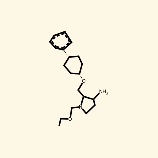 CCOCN1CCC(N)C1CO[C@H]1CC[C@@H](c2ccccc2)CC1